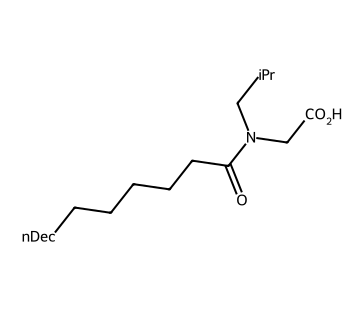 CCCCCCCCCCCCCCCC(=O)N(CC(=O)O)CC(C)C